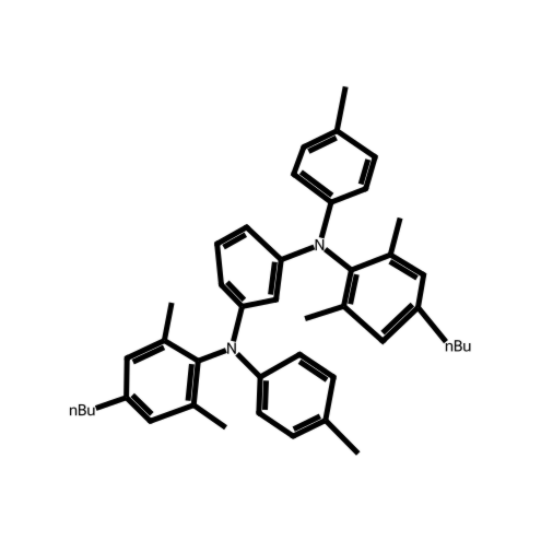 CCCCc1cc(C)c(N(c2ccc(C)cc2)c2cccc(N(c3ccc(C)cc3)c3c(C)cc(CCCC)cc3C)c2)c(C)c1